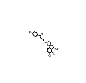 O=C(CCCN1CCC2(CC(O)c3c2ccc(Cl)c3Cl)C1)c1ccc(F)cc1